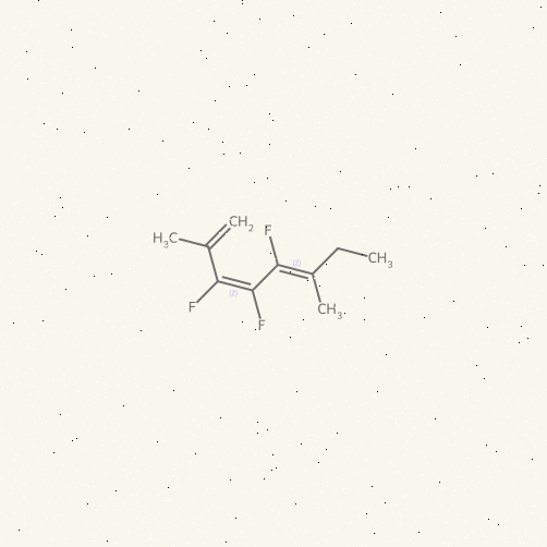 C=C(C)/C(F)=C(F)\C(F)=C(/C)CC